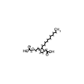 CCCCCCCCCCCC1N(CCOCC(=O)O)CCN1CC(=O)O